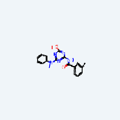 Cc1cccc(C(=O)Nc2nc(O)nc(Nc3ccccc3)n2)c1